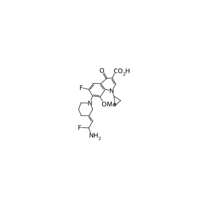 COc1c(N2CCCC(=CC(N)F)C2)c(F)cc2c(=O)c(C(=O)O)cn(C3CC3)c12